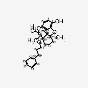 Cc1ccc(O)c2c1C13CCN(C)[C@H](C)[C@]1(OCCCc1ccccc1)CCC[C@]3(C)O2